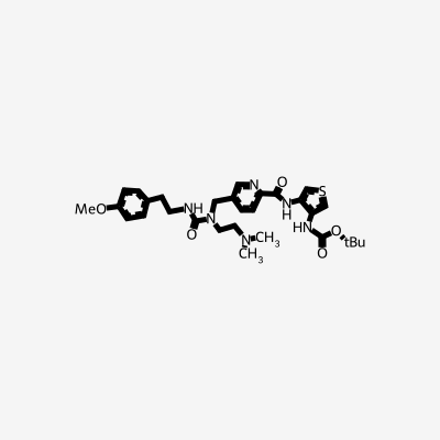 COc1ccc(CCNC(=O)N(CCN(C)C)Cc2ccc(C(=O)Nc3cscc3NC(=O)OC(C)(C)C)nc2)cc1